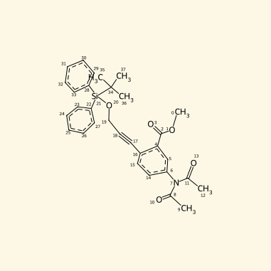 COC(=O)c1cc(N(C(C)=O)C(C)=O)ccc1C#CCO[Si](c1ccccc1)(c1ccccc1)C(C)(C)C